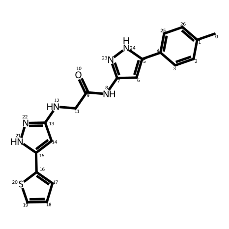 Cc1ccc(-c2cc(NC(=O)CNc3cc(-c4cccs4)[nH]n3)n[nH]2)cc1